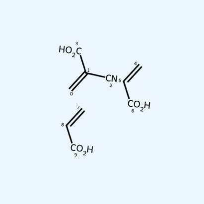 C=C(C#N)C(=O)O.C=CC(=O)O.C=CC(=O)O